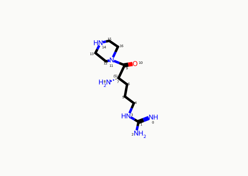 N=C(N)NCCC[C@H](N)C(=O)N1CCNCC1